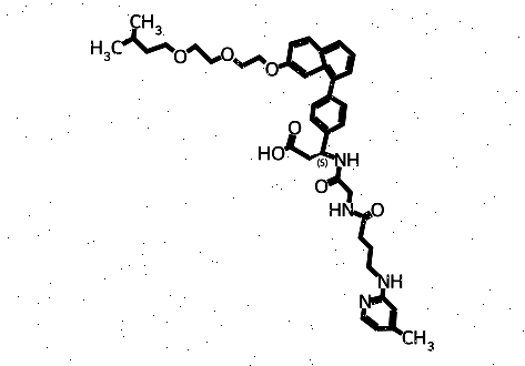 Cc1ccnc(NCCCC(=O)NCC(=O)N[C@@H](CC(=O)O)c2ccc(-c3cccc4ccc(OCCOCCOCCC(C)C)cc34)cc2)c1